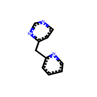 c1ccc(Cc2ccncn2)nc1